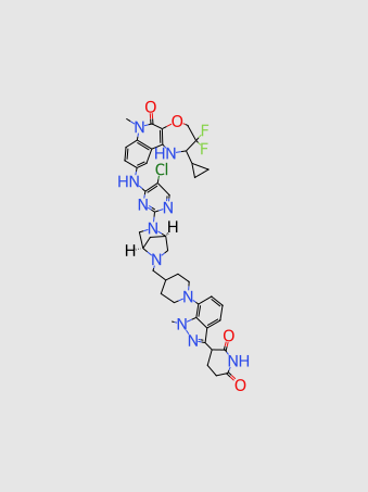 Cn1nc(C2CCC(=O)NC2=O)c2cccc(N3CCC(CN4C[C@H]5C[C@@H]4CN5c4ncc(Cl)c(Nc5ccc6c(c5)c5c(c(=O)n6C)OCC(F)(F)C(C6CC6)N5)n4)CC3)c21